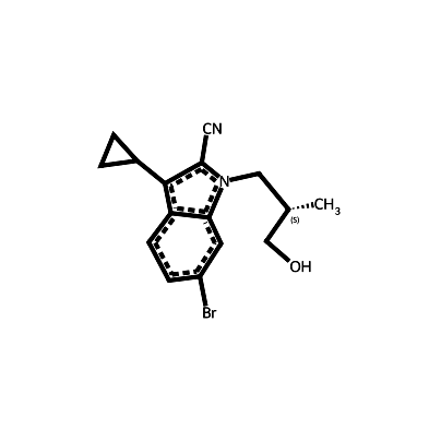 C[C@H](CO)Cn1c(C#N)c(C2CC2)c2ccc(Br)cc21